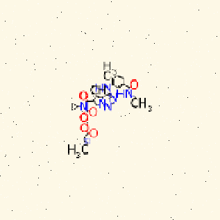 C/C=C/C(=O)OCOC(=O)N(C(=O)c1cn2ncnc(Nc3cc(C(=O)NCC)ccc3C)c2c1C)C1CC1